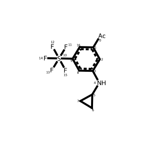 CC(=O)c1cc(NC2CC2)cc(S(F)(F)(F)(F)F)c1